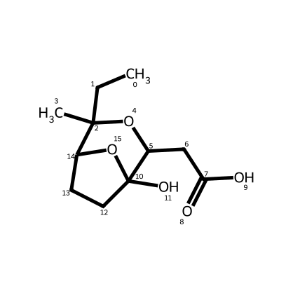 CCC1(C)OC(CC(=O)O)C2(O)CCC1O2